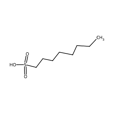 CCCCCCCCS(=O)(=O)O